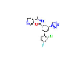 CC(NC(=O)c1cc(-c2ccc(F)cc2Cl)cc(-n2cnnn2)c1)c1ccncc1